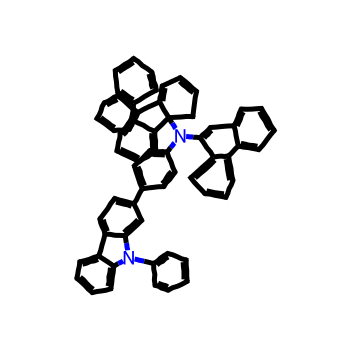 C1=CCC(c2ccccc2-c2ccccc2)(N(c2ccc(-c3ccc4c5ccccc5n(-c5ccccc5)c4c3)cc2)c2cc3ccccc3c3ccccc23)C(c2ccccc2)=C1